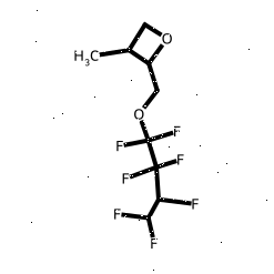 CC1COC1COC(F)(F)C(F)(F)C(F)C(F)F